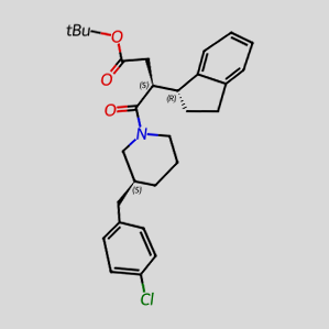 CC(C)(C)OC(=O)C[C@H](C(=O)N1CCC[C@@H](Cc2ccc(Cl)cc2)C1)[C@H]1CCc2ccccc21